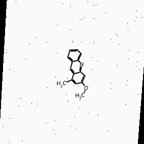 [CH2]c1cc(OC)cc2nc3ccccc3cc12